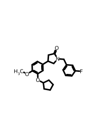 COc1ccc(C2CC(=O)N(Cc3cccc(F)c3)C2)cc1OC1CCCC1